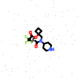 CC(=O)N(CC1(OC(=O)C(F)(F)F)CCC1)C1CCNCC1